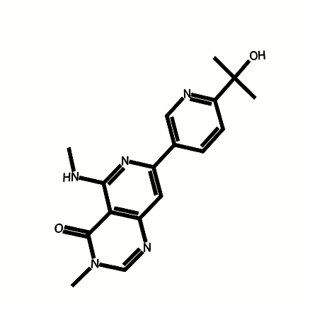 CNc1nc(-c2ccc(C(C)(C)O)nc2)cc2ncn(C)c(=O)c12